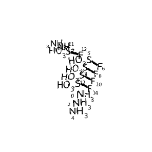 N.N.N.N.N.O=S(=O)(O)F.O=S(=O)(O)F.O=S(=O)(O)F.O=S(=O)(O)F.O=S(=O)(O)F